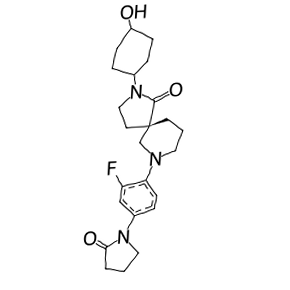 O=C1CCCN1c1ccc(N2CCC[C@]3(CCN(C4CCC(O)CC4)C3=O)C2)c(F)c1